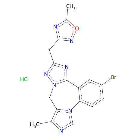 Cc1nc(Cc2nc3n(n2)Cc2c(C)ncn2-c2ccc(Br)cc2-3)no1.Cl